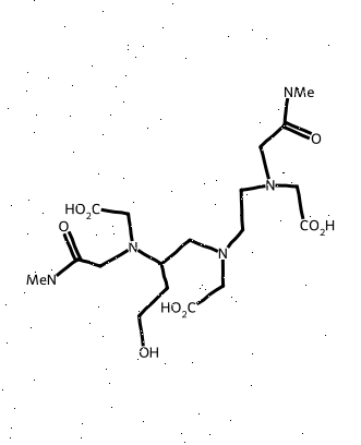 CNC(=O)CN(CCN(CC(=O)O)CC(CCO)N(CC(=O)O)CC(=O)NC)CC(=O)O